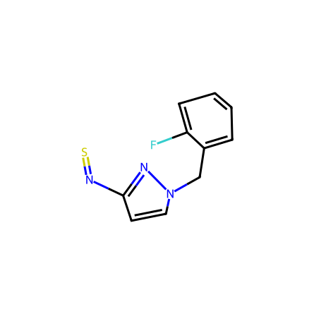 Fc1ccccc1Cn1ccc(N=S)n1